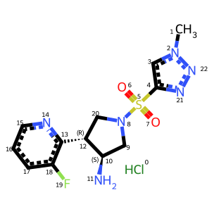 Cl.Cn1cc(S(=O)(=O)N2C[C@@H](N)[C@H](c3ncccc3F)C2)nn1